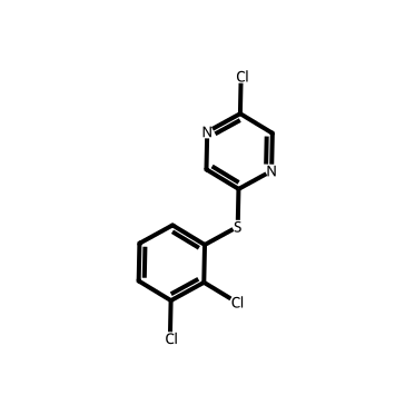 Clc1cnc(Sc2cccc(Cl)c2Cl)cn1